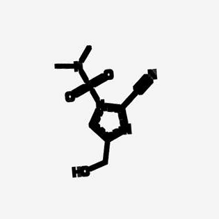 CN(C)S(=O)(=O)n1cc(CO)nc1C#N